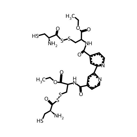 CCOC(=O)C(CSSC(=O)[C@@H](N)CS)NC(=O)c1ccnc(-c2cc(C(=O)NC(CSSC(=O)[C@@H](N)CS)C(=O)OCC)ccn2)c1